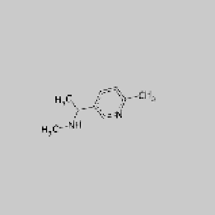 CNC(C)c1ccc(C)nc1